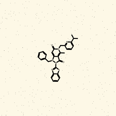 Cc1c2c(=O)n(-c3nc4ccccc4s3)n(Cc3ccccc3)c2cc(=O)n1Cc1cccc(C(C)C)n1